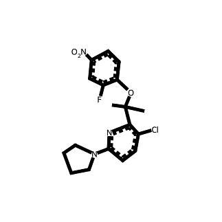 CC(C)(Oc1ccc([N+](=O)[O-])cc1F)c1nc(N2CCCC2)ccc1Cl